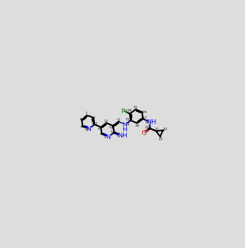 N=C1N=CC(c2ccccn2)=C/C1=C/Nc1cc(NC(=O)C2CC2)ccc1F